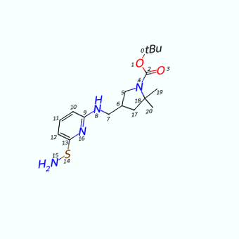 CC(C)(C)OC(=O)N1CC(CNc2cccc(SN)n2)CC1(C)C